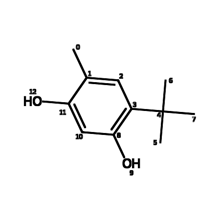 Cc1cc(C(C)(C)C)c(O)cc1O